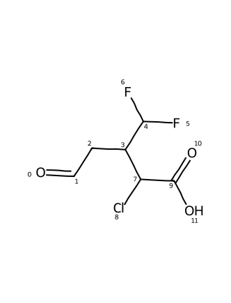 O=CCC(C(F)F)C(Cl)C(=O)O